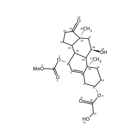 COC(=O)O[C@H]1C=C2C[C@@H](OC(=O)CO)CC[C@]2(C)C2C1C1CCC(=O)[C@@]1(C)C[C@H]2O